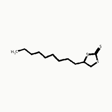 CCCCCCCCCC1CSC(=S)S1